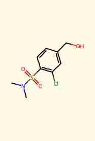 CN(C)S(=O)(=O)c1ccc(CO)cc1Cl